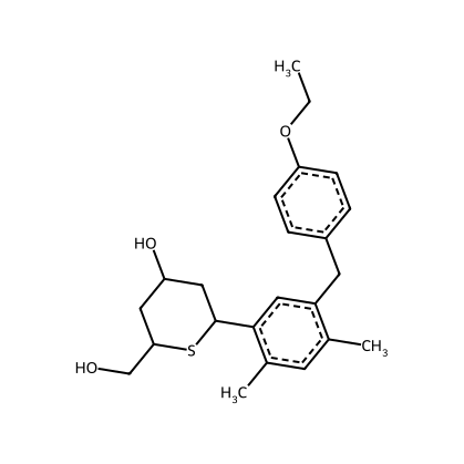 CCOc1ccc(Cc2cc(C3CC(O)CC(CO)S3)c(C)cc2C)cc1